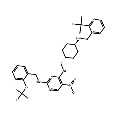 O=[N+]([O-])c1cnc(NCc2ccccc2OC(F)(F)F)nc1NC[C@H]1CC[C@H](NCc2cccnc2C(F)(F)F)CC1